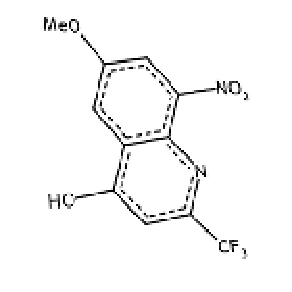 COc1cc([N+](=O)[O-])c2nc(C(F)(F)F)cc(O)c2c1